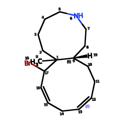 CC12CCCCNCC[C@@H]1CC/C=C\CC=CC2Br